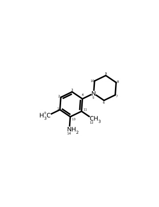 Cc1ccc(N2CCCCC2)c(C)c1N